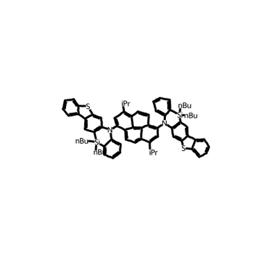 CCCC[Si]1(CCCC)c2ccccc2N(c2cc(C(C)C)c3ccc4c(N5c6ccccc6[Si](CCCC)(CCCC)c6cc7c(cc65)sc5ccccc57)cc(C(C)C)c5ccc2c3c54)c2cc3sc4ccccc4c3cc21